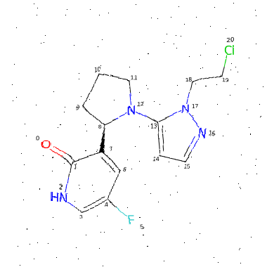 O=c1[nH]cc(F)cc1[C@H]1CCCN1c1ccnn1CCCl